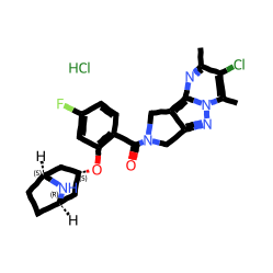 Cc1nc2c3c(nn2c(C)c1Cl)CN(C(=O)c1ccc(F)cc1O[C@@H]1C[C@H]2CC[C@@H](C1)N2)C3.Cl